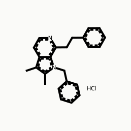 Cc1c(C)n(Cc2ccccc2)c2c(CCc3ccccc3)nccc12.Cl